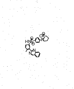 Cc1ccc(NS(=O)(=O)c2ccc(N3CCCCS3(=O)=O)cc2)cc1-c1ncc2ccccc2n1